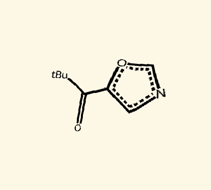 CC(C)(C)C(=O)c1cnco1